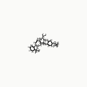 CC(C)C1NC2=C(CCN(c3ncccc3C(F)(F)F)C=C2)C(Nc2ccc(OC(F)(F)F)cc2)N1